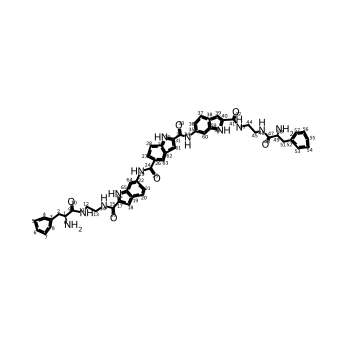 N[C@@H](Cc1ccccc1)C(=O)NCCNC(=O)c1cc2ccc(NC(=O)c3ccc4[nH]c(C(=O)Nc5ccc6cc(C(=O)NCCNC(=O)[C@@H](N)Cc7ccccc7)[nH]c6c5)cc4c3)cc2[nH]1